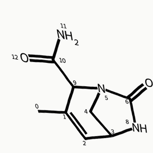 CC1=CC2CN(C(=O)N2)C1C(N)=O